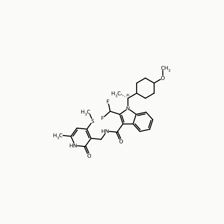 COC1CCC([C@@H](C)n2c(C(F)F)c(C(=O)NCc3c(SC)cc(C)[nH]c3=O)c3ccccc32)CC1